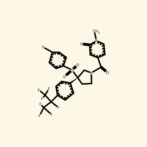 Cn1ccc(C(=O)N2CC[C@](c3ccc(C(F)(C(F)(F)F)C(F)(F)F)cc3)(S(=O)(=O)c3ccc(F)cc3)C2)cc1=O